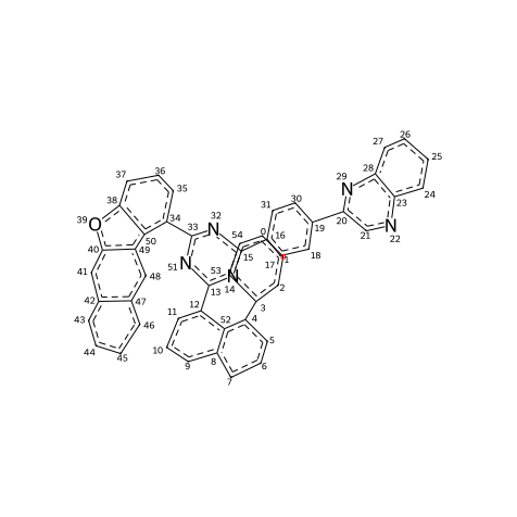 c1ccc(-c2cccc3cccc(-c4nc(-c5ccc(-c6cnc7ccccc7n6)cc5)nc(-c5cccc6oc7cc8ccccc8cc7c56)n4)c23)cc1